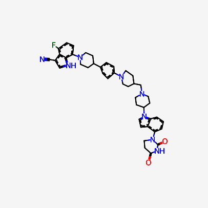 N#Cc1c[nH]c2c(N3CCC(c4ccc(N5CCC(CN6CCC(n7ccc8c(N9CCC(=O)NC9=O)cccc87)CC6)CC5)cc4)CC3)ccc(F)c12